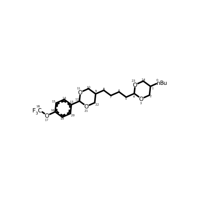 CCCCC1COC(CCCCC2COC(c3ccc(OC(F)(F)F)cc3)OC2)OC1